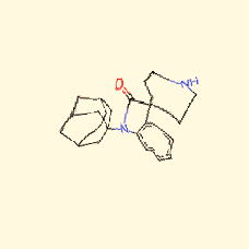 O=C1N(C23CC4CC(CC(C4)C2)C3)c2ccccc2C12CCNCC2